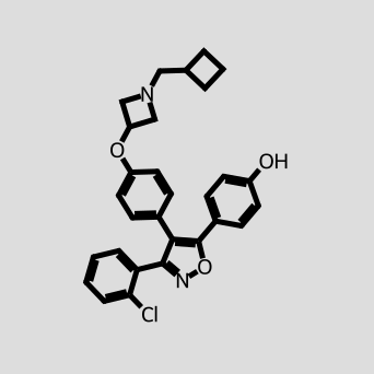 Oc1ccc(-c2onc(-c3ccccc3Cl)c2-c2ccc(OC3CN(CC4CCC4)C3)cc2)cc1